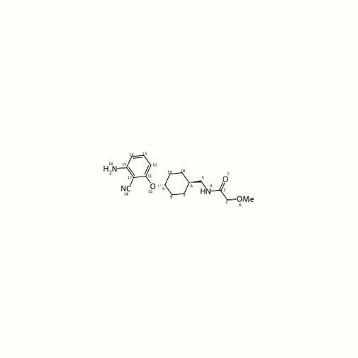 COCC(=O)NC[C@H]1CC[C@H](Oc2cccc(N)c2C#N)CC1